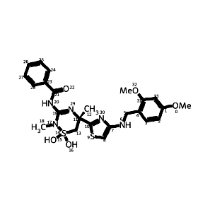 COc1ccc(CNc2csc([C@]3(C)CS(O)(O)N(C)C(NC(=O)c4ccccc4)=N3)n2)c(OC)c1